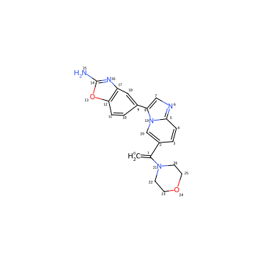 C=C(c1ccc2ncc(-c3ccc4oc(N)nc4c3)n2c1)N1CCOCC1